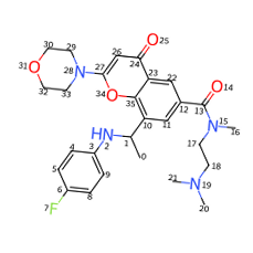 CC(Nc1ccc(F)cc1)c1cc(C(=O)N(C)CCN(C)C)cc2c(=O)cc(N3CCOCC3)oc12